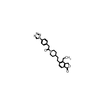 CCc1c(CCC2CCN(C(=O)Cc3ccc(-n4cnnn4)cc3)CC2)ccc2c1COC2=O